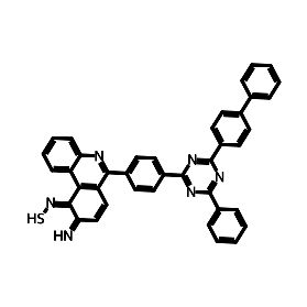 N=C1C=Cc2c(-c3ccc(-c4nc(-c5ccccc5)nc(-c5ccc(-c6ccccc6)cc5)n4)cc3)nc3ccccc3c2/C1=N/S